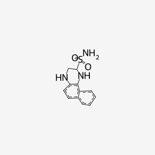 NS(=O)(=O)C1CNc2ccc3ccccc3c2N1